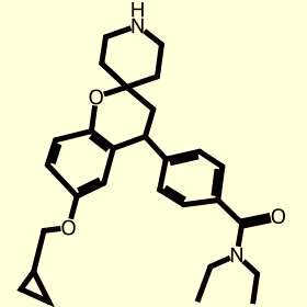 CCN(CC)C(=O)c1ccc(C2CC3(CCNCC3)Oc3ccc(OCC4CC4)cc32)cc1